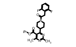 Cc1nc(C)c(C(=O)OC(C)C)c(C2CCN(C(=O)Cc3c(F)cccc3F)CC2)n1